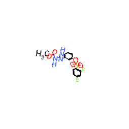 COC(=O)Nc1nc2cc(OS(=O)(=O)c3ccc(F)cc3F)ccc2[nH]1